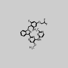 COc1cnc(-c2nn(Cc3c(F)cc(OCC(F)F)cc3F)c3ccccc23)nc1Nc1ccnc(C)n1